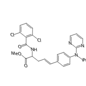 COC(=O)C(CC=Cc1ccc(N(c2ncccn2)C(C)C)cc1)NC(=O)c1c(Cl)cccc1Cl